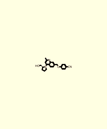 Cc1cc(N2CCC[C@H]2CO)c2ccc(COc3ccc(C#N)cc3)cc2n1